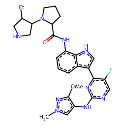 CCC1CNCC1N1CCCC1C(=O)Nc1cccc2c(-c3nc(Nc4cn(C)nc4OC)ncc3F)c[nH]c12